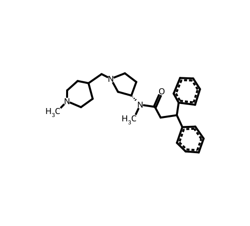 CN1CCC(CN2CC[C@H](N(C)C(=O)CC(c3ccccc3)c3ccccc3)C2)CC1